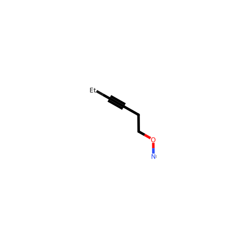 CCC#CCCO[N]